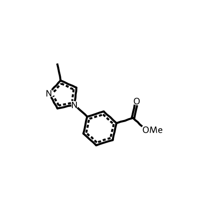 COC(=O)c1cccc(-n2cnc(C)c2)c1